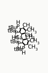 Cc1c(C)c(PC(C)(C)C)c(PC(C)(C)C)[c]([GaH][c]2c(C)c(C)c(C)c(PC(C)(C)C)c2PC(C)(C)C)c1C